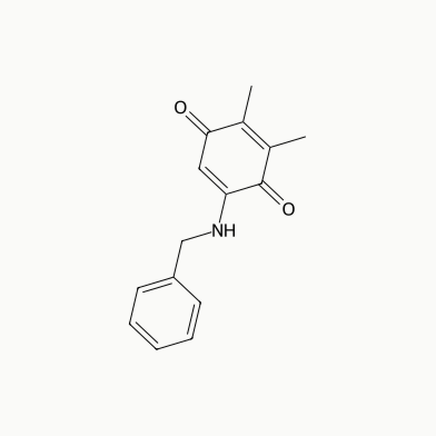 CC1=C(C)C(=O)C(NCc2ccccc2)=CC1=O